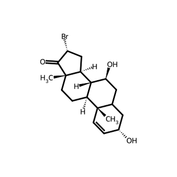 C[C@]12C=C[C@@H](O)CC1C[C@H](O)[C@@H]1[C@@H]2CC[C@]2(C)C(=O)[C@H](Br)C[C@@H]12